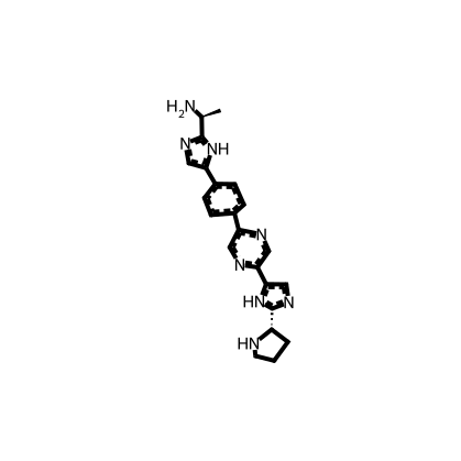 C[C@H](N)c1ncc(-c2ccc(-c3cnc(-c4cnc([C@@H]5CCCN5)[nH]4)cn3)cc2)[nH]1